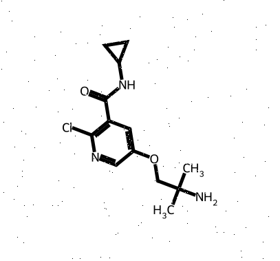 CC(C)(N)COc1cnc(Cl)c(C(=O)NC2CC2)c1